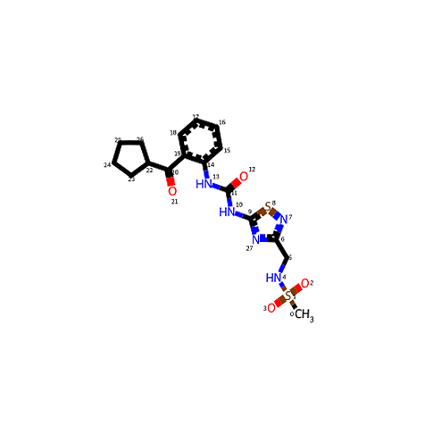 CS(=O)(=O)NCc1nsc(NC(=O)Nc2ccccc2C(=O)C2CCCC2)n1